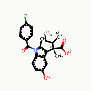 CCC(C)[C@](C)(C(=O)O)c1c(C)n(C(=O)c2ccc(Cl)cc2)c2ccc(O)cc12